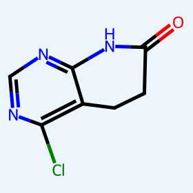 O=C1CCc2c(Cl)ncnc2N1